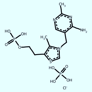 Cc1ncc(C[n+]2csc(CCOP(=O)(O)O)c2C)c(N)n1.O=P(O)(O)O.[Cl-]